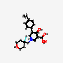 Cc1ccc(-c2cn(CC3(F)CCOCC3)cc(C(=O)O)c2=O)cc1